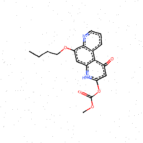 CCCCOc1cc2[nH]c(OC(=O)OC)cc(=O)c2c2cccnc12